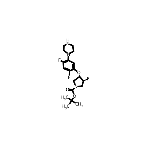 CC(C)(C)OC(=O)N1C[C@H](Oc2cc(N3CCNCC3)c(F)cc2F)[C@@H](F)C1